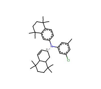 Cc1cc(Cl)cc(N(c2ccc3c(c2)C(C)(C)CCC3(C)C)[C@H]2C=CC3C(C2)C(C)(C)CCC3(C)C)c1